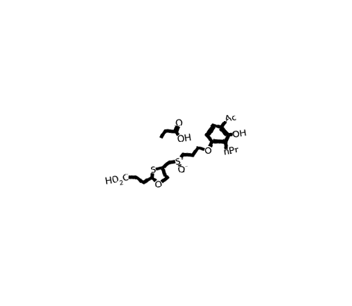 CCC(=O)O.CCCc1c(OCCC[S+]([O-])CC2COC(CCC(=O)O)S2)ccc(C(C)=O)c1O